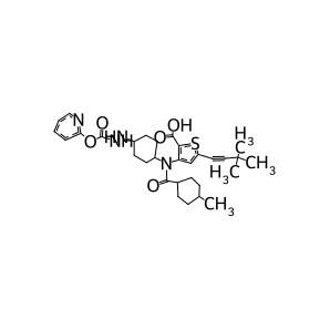 CC1CCC(C(=O)N(c2cc(C#CC(C)(C)C)sc2C(=O)O)C2CCC(NNC(=O)Oc3ccccn3)CC2)CC1